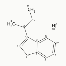 CCC(C)C1=C[CH]c2ccccc21.[Hf]